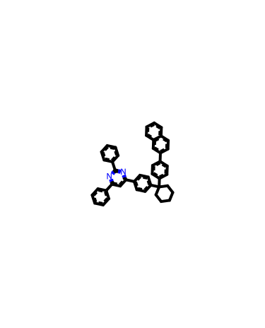 c1ccc(-c2cc(-c3ccc(C4(c5ccc(-c6ccc7ccccc7c6)cc5)CCCCC4)cc3)nc(-c3ccccc3)n2)cc1